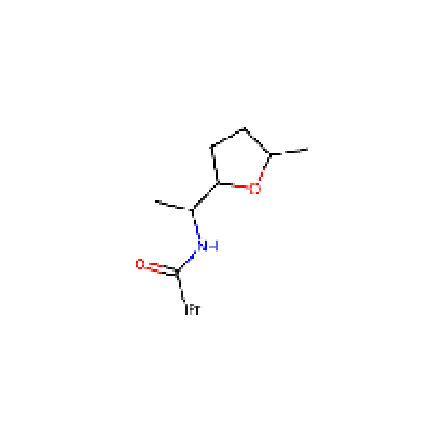 CC1CCC(C(C)NC(=O)C(C)C)O1